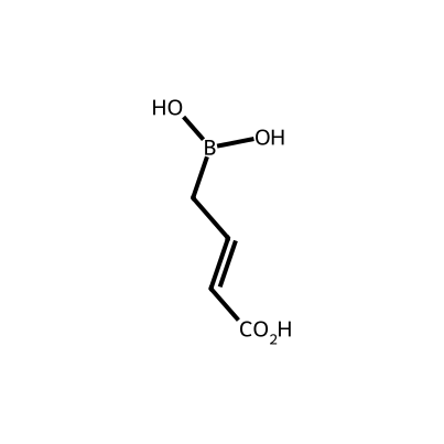 O=C(O)C=CCB(O)O